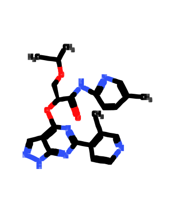 Cc1ccc(NC(=O)[C@H](COC(C)C)Oc2nc(-c3ccncc3C)nc3[nH]ncc23)nc1